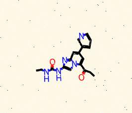 CCNC(=O)Nc1cn2c(C(=O)CC)cc(-c3cccnc3)cc2n1